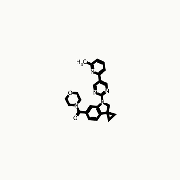 Cc1cccc(-c2cnc(N3CC4(CC4)c4ccc(C(=O)N5CCOCC5)cc43)nc2)n1